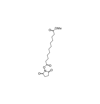 COC(=O)CCCCCCCCCCC(=O)ON1C(=O)CCC1=O